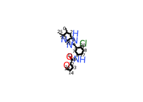 Cc1cc2[nH]c(-c3cc(NC(=O)c4ccco4)ccc3Cl)nc2nc1C